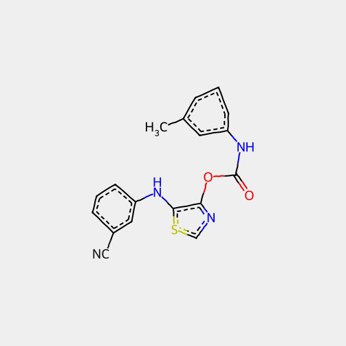 Cc1cccc(NC(=O)Oc2ncsc2Nc2cccc(C#N)c2)c1